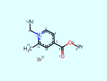 CC(=O)C[n+]1ccc(C(=O)OC(C)C)cc1C.[Br-]